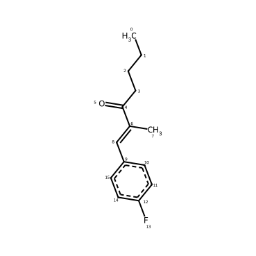 CCCCC(=O)/C(C)=C/c1ccc(F)cc1